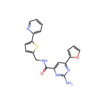 Nc1nc(C(=O)NCc2ccc(-c3ccccn3)s2)cc(-c2ccco2)n1